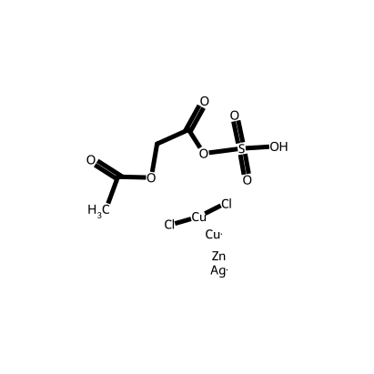 CC(=O)OCC(=O)OS(=O)(=O)O.[Ag].[Cl][Cu][Cl].[Cu].[Zn]